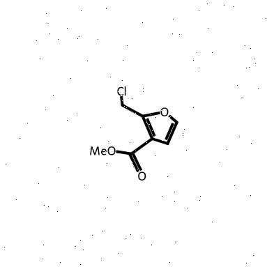 COC(=O)c1ccoc1CCl